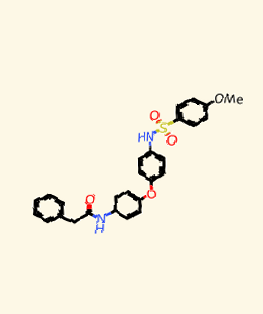 COc1ccc(S(=O)(=O)Nc2ccc(OC3=CCC(NC(=O)Cc4ccccc4)C=C3)cc2)cc1